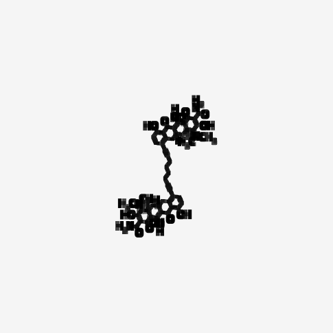 CN(C)[C@@H]1C(O)=C(C(N)=O)C(=O)[C@@]2(O)C(O)=C3C(=O)c4c(O)ccc(C#CCCCCC#Cc5ccc(O)c6c5C[C@H]5C[C@H]7[C@H](N(C)C)C(O)=C(C(N)=O)C(=O)[C@@]7(O)C(O)=C5C6=O)c4C[C@H]3C[C@@H]12